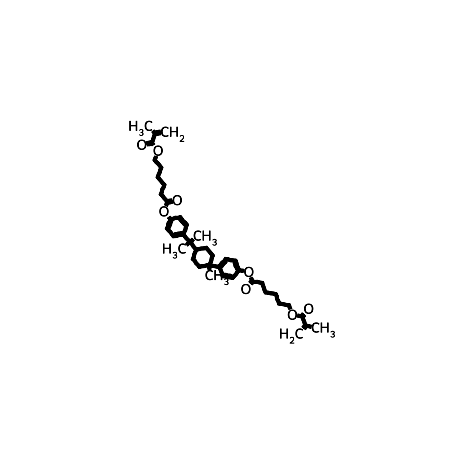 C=C(C)C(=O)OCCCCCC(=O)Oc1ccc(C2(C)CCC(C(C)(C)c3ccc(OC(=O)CCCCCOC(=O)C(=C)C)cc3)CC2)cc1